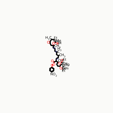 CCOC(C)OC(C)(/C=C/C=C(\C)CC(C)/C=C/C(C(=O)OOc1ccc([N+](=O)[O-])cc1)C(C)(CCC(CC=O)O[Si](CC)(CC)C(C)C)OC(C)OCC)CC1OC1C(C)C(CC)OC